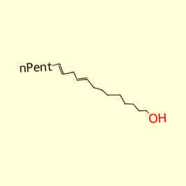 CCCCCC=CCC=CCCCCCCCCO